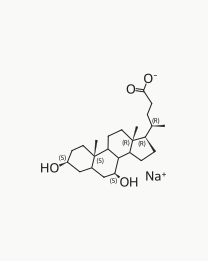 C[C@H](CCC(=O)[O-])[C@H]1CCC2C3C(CC[C@@]21C)[C@@]1(C)CC[C@H](O)CC1C[C@@H]3O.[Na+]